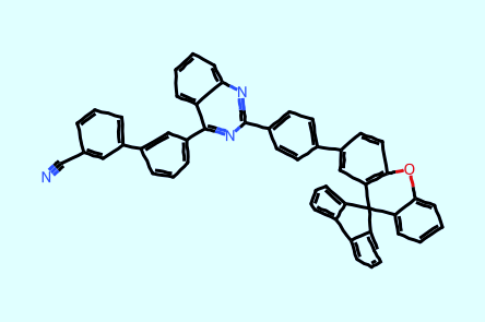 N#Cc1cccc(-c2cccc(-c3nc(-c4ccc(-c5ccc6c(c5)C5(c7ccccc7O6)c6ccccc6-c6ccccc65)cc4)nc4ccccc34)c2)c1